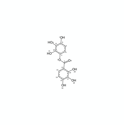 O=C(Oc1ccc(O)c(O)c1O)c1ccc(O)c(O)c1O